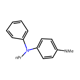 CCCN(c1ccccc1)c1ccc(NC)cc1